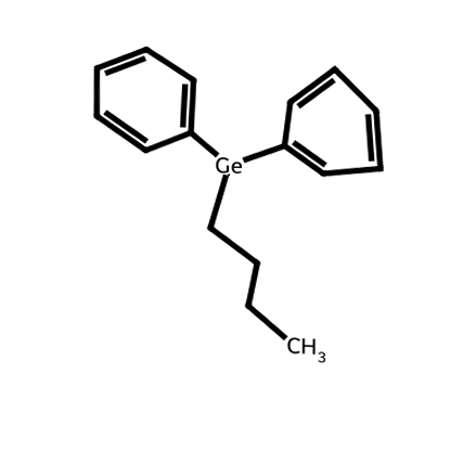 CCC[CH2][Ge]([c]1ccccc1)[c]1ccccc1